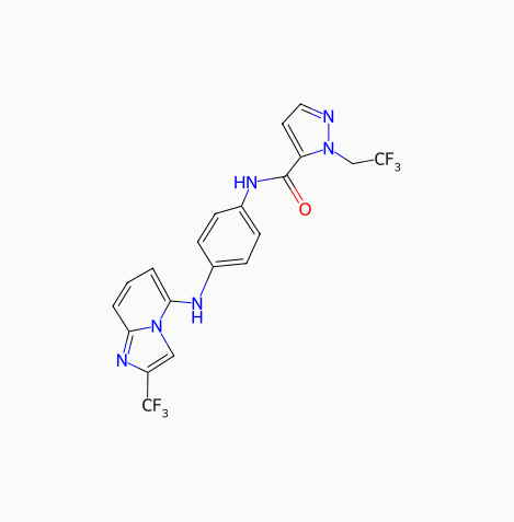 O=C(Nc1ccc(Nc2cccc3nc(C(F)(F)F)cn23)cc1)c1ccnn1CC(F)(F)F